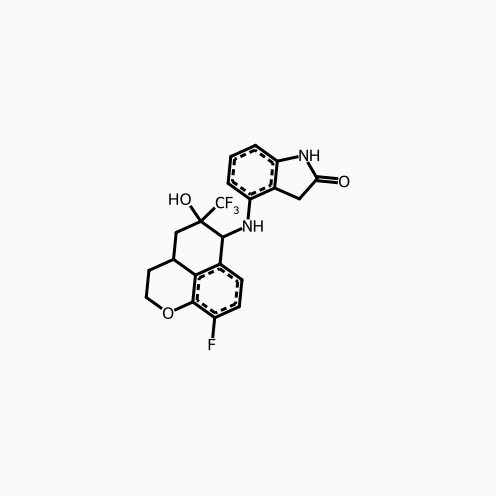 O=C1Cc2c(cccc2NC2c3ccc(F)c4c3C(CCO4)CC2(O)C(F)(F)F)N1